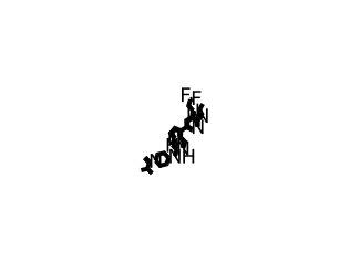 C=C(C(C)C)N1CCC(Nc2ncc3c(-c4cnc5nc(C)n(CC(F)F)c5c4)ccn3n2)CC1